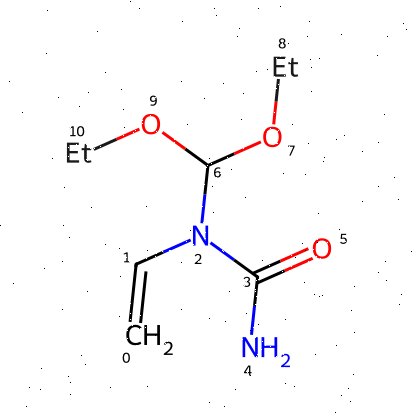 C=CN(C(N)=O)C(OCC)OCC